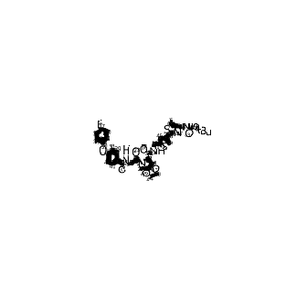 CC(C)(C)OC(=O)Nc1csc(-c2csc(CNC(=O)[C@@H]3CC4(CN3C(=O)CNC(=O)c3ccc(Oc5ccc(F)cc5)cc3)OCCO4)c2)n1